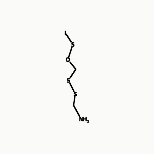 NCSSCOSI